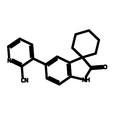 N#Cc1ncccc1-c1ccc2c(c1)C1(CCCCC1)C(=O)N2